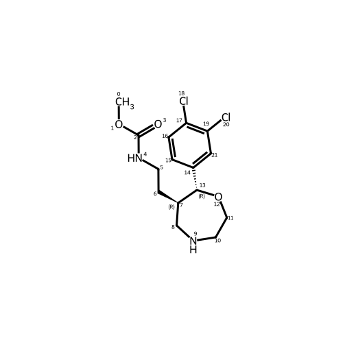 COC(=O)NCC[C@@H]1CNCCO[C@H]1c1ccc(Cl)c(Cl)c1